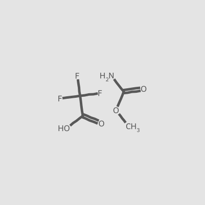 COC(N)=O.O=C(O)C(F)(F)F